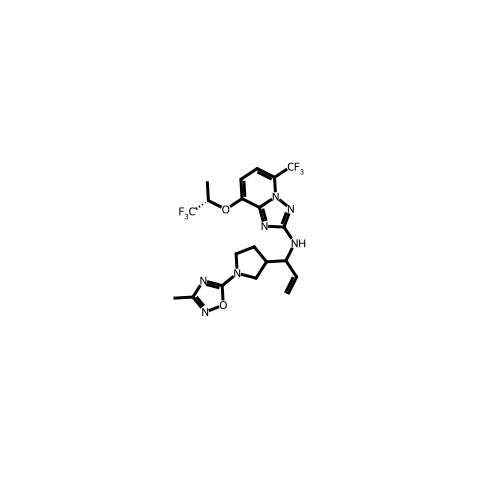 C=CC(Nc1nc2c(O[C@@H](C)C(F)(F)F)ccc(C(F)(F)F)n2n1)C1CCN(c2nc(C)no2)C1